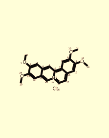 COc1cc2cc3c4cc(OC)c(OC)cc4cc[n+]3cc2cc1OC.[Cl-]